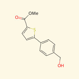 COC(=O)c1ccc(-c2ccc(CO)cc2)s1